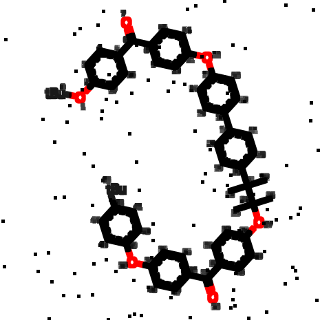 CC(C)(C)Oc1ccc(C(=O)c2ccc(Oc3ccc(-c4ccc(C(C)(C)C(C)(C)Oc5ccc(C(=O)c6ccc(Oc7ccc(C(C)(C)C)cc7)cc6)cc5)cc4)cc3)cc2)cc1